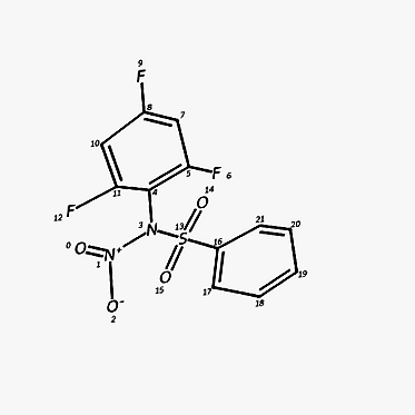 O=[N+]([O-])N(c1c(F)cc(F)cc1F)S(=O)(=O)c1ccccc1